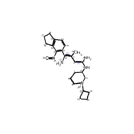 CC(/C=C(\N)NC1CCCN(C2CCC2)C1)=C(/N)c1ccc2c(c1N=O)CCC2